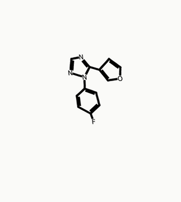 Fc1ccc(-n2ncnc2-c2ccoc2)cc1